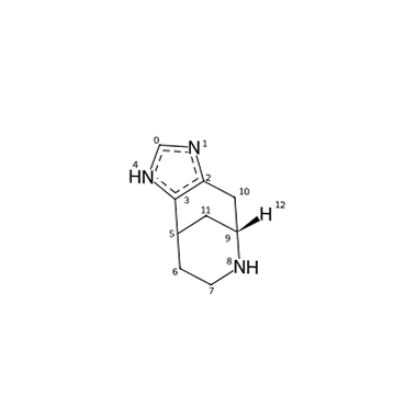 c1nc2c([nH]1)C1CCN[C@@H](C2)C1